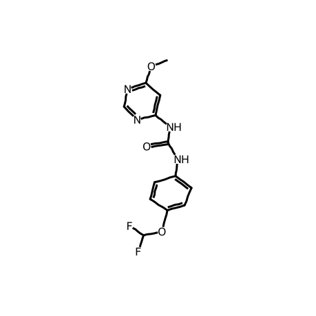 COc1cc(NC(=O)Nc2ccc(OC(F)F)cc2)ncn1